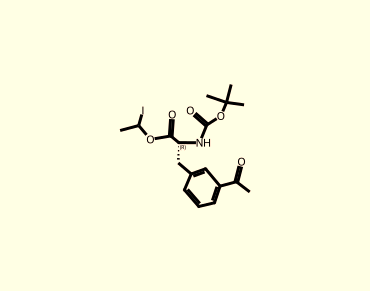 CC(=O)c1cccc(C[C@@H](NC(=O)OC(C)(C)C)C(=O)OC(C)I)c1